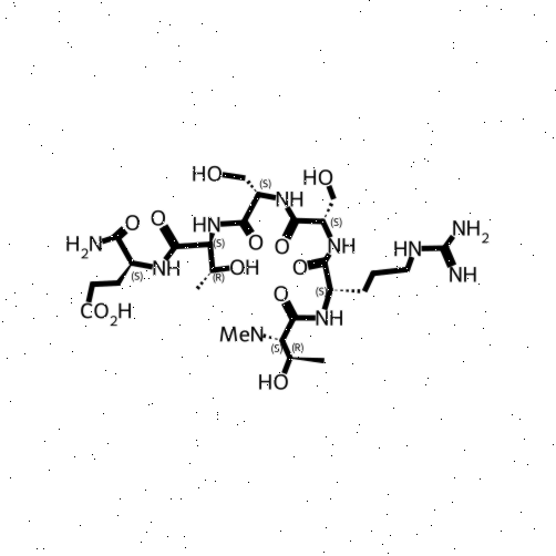 CN[C@H](C(=O)N[C@@H](CCCNC(=N)N)C(=O)N[C@@H](CO)C(=O)N[C@@H](CO)C(=O)N[C@H](C(=O)N[C@@H](CCC(=O)O)C(N)=O)[C@@H](C)O)[C@@H](C)O